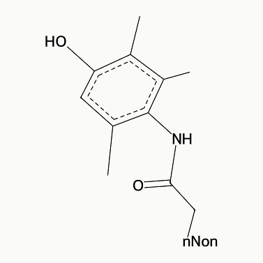 CCCCCCCCCCC(=O)Nc1c(C)cc(O)c(C)c1C